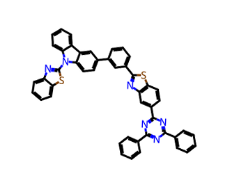 c1ccc(-c2nc(-c3ccccc3)nc(-c3ccc4sc(-c5cccc(-c6ccc7c(c6)c6ccccc6n7-c6nc7ccccc7s6)c5)nc4c3)n2)cc1